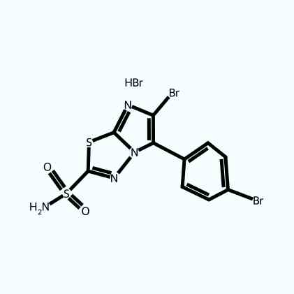 Br.NS(=O)(=O)c1nn2c(-c3ccc(Br)cc3)c(Br)nc2s1